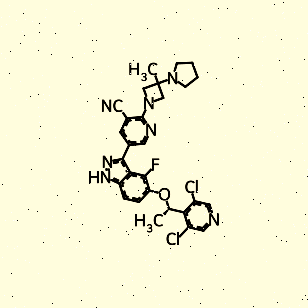 C[C@@H](Oc1ccc2[nH]nc(-c3cnc(N4CC(C)(N5CCCC5)C4)c(C#N)c3)c2c1F)c1c(Cl)cncc1Cl